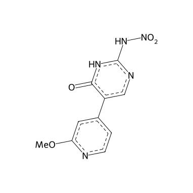 COc1cc(-c2cnc(N[N+](=O)[O-])[nH]c2=O)ccn1